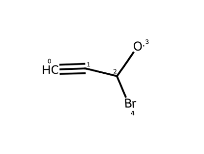 C#CC([O])Br